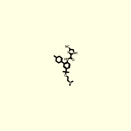 CC1CC=C(c2cc(C(C)(C)OCCN(C)C)ccc2NC(=O)C2=NC(C#N)CN2)CC1